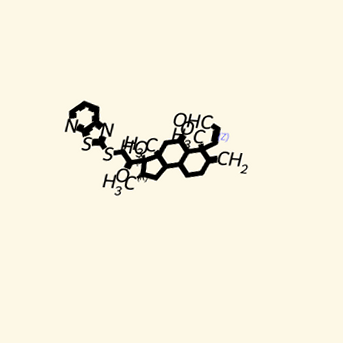 C=C1CCC2C(C(=O)CC3(C)C2C[C@@H](C)[C@]3(O)C(=O)CSc2nc3cccnc3s2)C1(C)/C=C\C=O